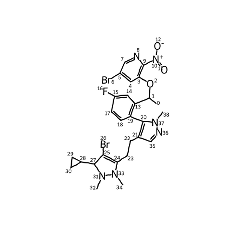 CC(Oc1cc(Br)cnc1[N+](=O)[O-])c1cc(F)ccc1-c1c(CCC2=C(Br)C(C3CC3)N(C)N2C)cnn1C